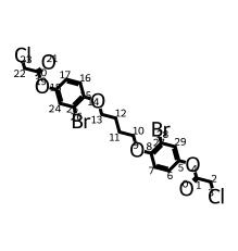 O=C(CCl)Oc1ccc(OCCCCOc2ccc(OC(=O)CCl)cc2Br)c(Br)c1